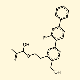 C=C(C)C(O)OCCc1cc(-c2ccc(-c3ccccc3)cc2F)ccc1CO